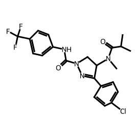 CC(C)C(=O)N(C)C1CN(C(=O)Nc2ccc(C(F)(F)F)cc2)N=C1c1ccc(Cl)cc1